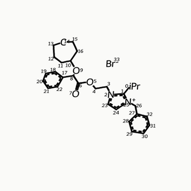 CC(C)c1n(CCOC(=O)C(OC2CCCCCC2)c2ccccc2)cc[n+]1Cc1ccccc1.[Br-]